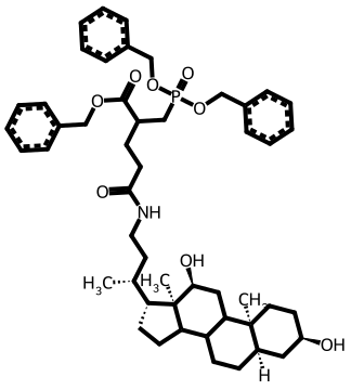 C[C@H](CCNC(=O)CCC(CP(=O)(OCc1ccccc1)OCc1ccccc1)C(=O)OCc1ccccc1)[C@H]1CCC2C3CC[C@@H]4C[C@H](O)CC[C@]4(C)C3C[C@H](O)[C@@]21C